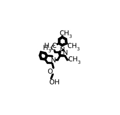 CCc1nn(-c2c(C)cc(C)cc2C)c(CC)c1CN1Cc2ccccc2CC1COCCO